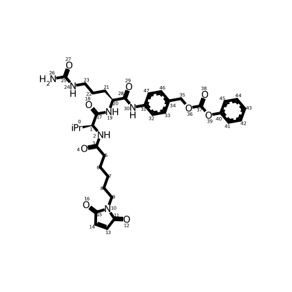 CC(C)[C@H](NC(=O)CCCCCN1C(=O)C=CC1=O)C(=O)N[C@@H](CCCNC(N)=O)C(=O)Nc1ccc(COC(=O)Oc2ccccc2)cc1